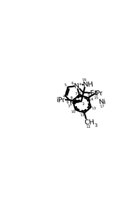 CCC12C=NC=C[N+]1(c1c(C(C)C)cc(C)cc1C(C)C)N2.[Ni]